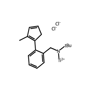 CC1=C(c2ccccc2C[N]([Ti+2])C(C)(C)C)CC=C1.[Cl-].[Cl-]